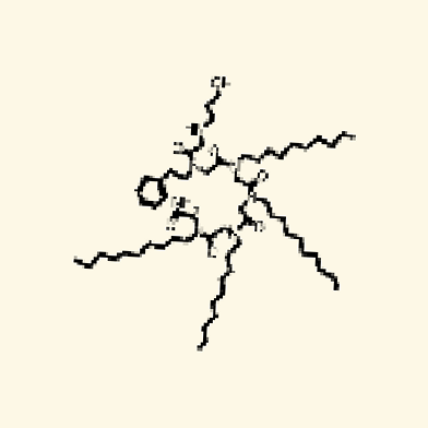 CCCCCCCCCCN(CC(N)=O)C(=O)CN(CCCCCCCCCC)C(=O)CN(CCCCCCCCCC)C(=O)CN(CCCCCCCCCC)C(=O)CN(CCc1ccccc1)C(=O)CNCCCO